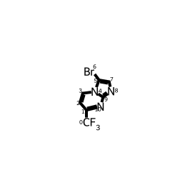 FC(F)(F)c1ccn2c(Br)cnc2n1